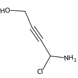 NC(Cl)C#CCO